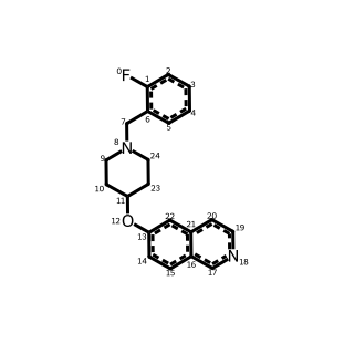 Fc1ccccc1CN1CCC(Oc2ccc3cnccc3c2)CC1